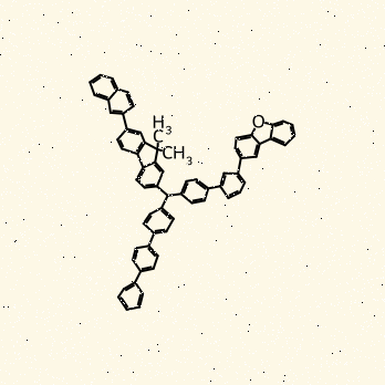 CC1(C)c2cc(-c3ccc4ccccc4c3)ccc2-c2ccc(C(c3ccc(-c4ccc(-c5ccccc5)cc4)cc3)c3ccc(-c4cccc(-c5ccc6oc7ccccc7c6c5)c4)cc3)cc21